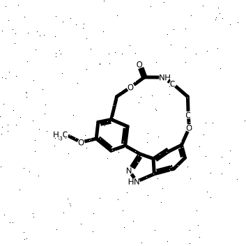 COc1cc2cc(c1)-c1n[nH]c3ccc(cc13)OCCCNC(=O)OC2